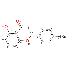 CC(C)(C)c1ccc(C2CC(=O)c3c(O)cccc3O2)cc1